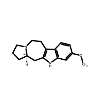 FC(F)(F)Oc1ccc2c3c([nH]c2c1)C[C@H]1CCCN1CC3